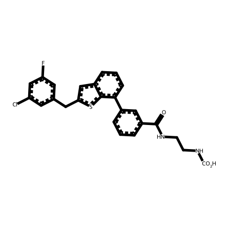 O=C(O)NCCNC(=O)c1cccc(-c2cccc3cc(Cc4cc(F)cc(Cl)c4)sc23)c1